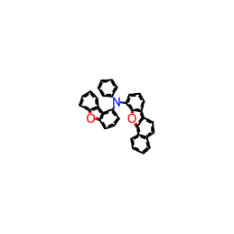 c1ccc(N(c2cccc3c2oc2c4ccccc4ccc32)c2cccc3oc4ccccc4c23)cc1